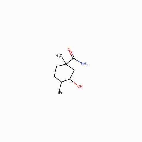 CC(C)C1CCC(C)(C(N)=O)CC1O